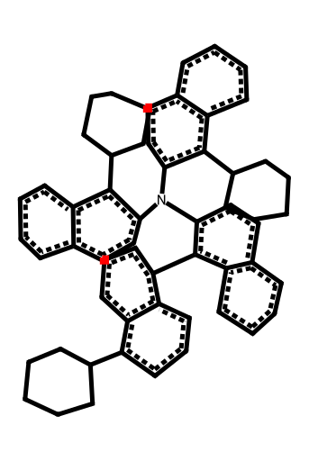 c1ccc2c(-c3cccc4c(C5CCCCC5)cccc34)c(N(c3ccc4ccccc4c3C3CCCCC3)c3ccc4ccccc4c3C3CCCCC3)ccc2c1